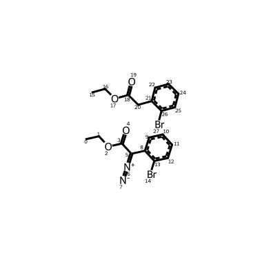 CCOC(=O)C(=[N+]=[N-])c1ccccc1Br.CCOC(=O)Cc1ccccc1Br